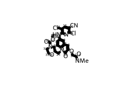 CNC(=O)COc1cc2cc(Nc3nc(Cl)c(C#N)cc3Cl)ccc2n(CC2CN(C(=O)OC(C)(C)C)CCO2)c1=O